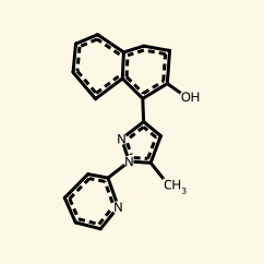 Cc1cc(-c2c(O)ccc3ccccc23)nn1-c1ccccn1